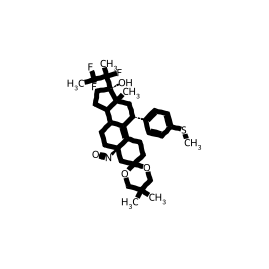 CSc1ccc([C@H]2CC3(C)C(CC[C@@]3(O)C(C)(F)C(C)(F)F)C3CC[C@@]4(N=O)CC5(CCC4=C32)OCC(C)(C)CO5)cc1